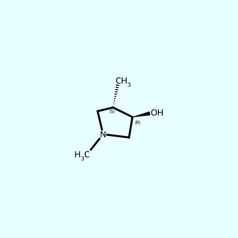 C[C@H]1CN(C)C[C@@H]1O